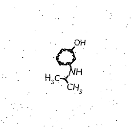 CC(C)Nc1c[c]cc(O)c1